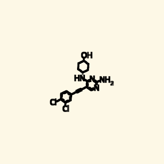 Nc1ncc(C#Cc2ccc(Cl)c(Cl)c2)c(N[C@H]2CC[C@H](O)CC2)n1